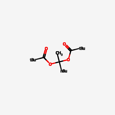 CCCCC(C)(OC(=O)C(C)(C)C)OC(=O)C(C)(C)C